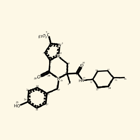 CCOC(=O)c1cc2n(n1)CC(C)(C(=O)NC1CCC(C)CC1)N(Cc1ccc(O)cc1)C2=O